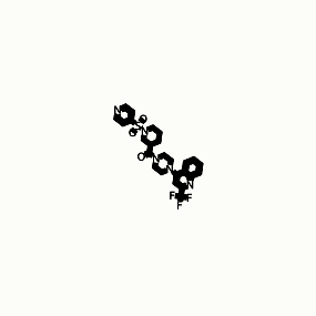 O=C(C1CCCN(S(=O)(=O)c2ccncc2)C1)N1CCN(c2cc(C(F)(F)F)nc3ccccc23)CC1